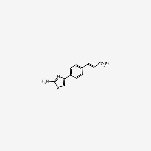 CCOC(=O)C=Cc1ccc(-c2csc(N)n2)cc1